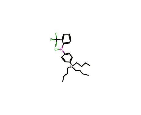 CCCC[Si](CCCC)(CCCC)c1ccc(P(Cl)c2ccccc2C(F)(F)F)cc1